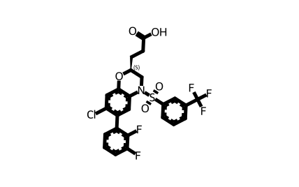 O=C(O)CC[C@H]1CN(S(=O)(=O)c2cccc(C(F)(F)F)c2)c2cc(-c3cccc(F)c3F)c(Cl)cc2O1